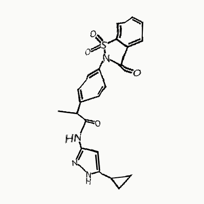 CC(C(=O)Nc1cc(C2CC2)[nH]n1)c1ccc(N2C(=O)c3ccccc3S2(=O)=O)cc1